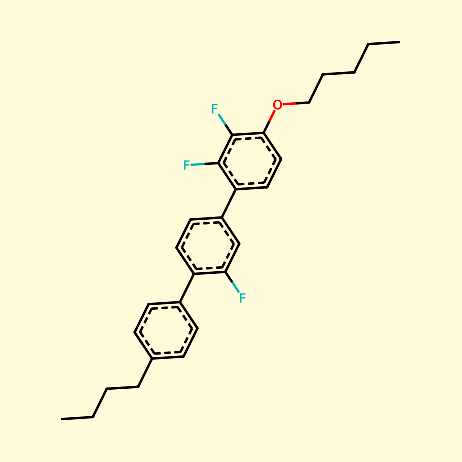 CCCCCOc1ccc(-c2ccc(-c3ccc(CCCC)cc3)c(F)c2)c(F)c1F